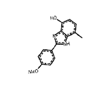 COc1ccc(-c2nc3c(O)ccc(C)c3[nH]2)cc1